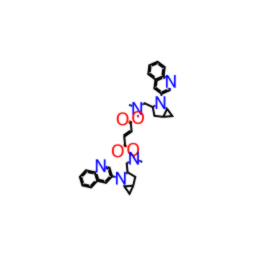 CN(CC1CC2CC2N1c1cnc2ccccc2c1)OC(=O)/C=C/C(=O)ON(C)CC1CC2CC2N1c1cnc2ccccc2c1